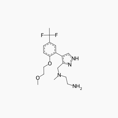 COCCOc1ccc(C(C)(F)F)cc1-c1c[nH]nc1CN(C)CCN